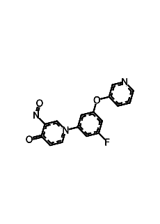 O=Nc1cn(-c2cc(F)cc(Oc3cccnc3)c2)ccc1=O